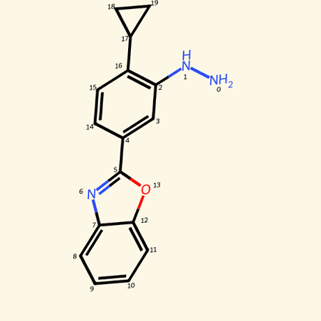 NNc1cc(-c2nc3ccccc3o2)ccc1C1CC1